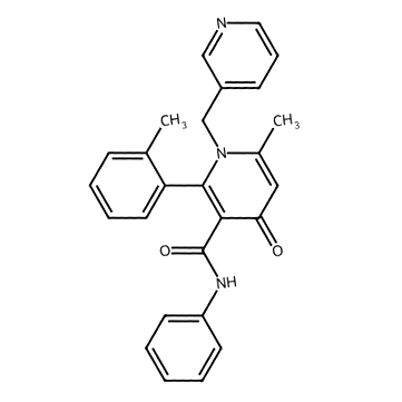 Cc1ccccc1-c1c(C(=O)Nc2ccccc2)c(=O)cc(C)n1Cc1cccnc1